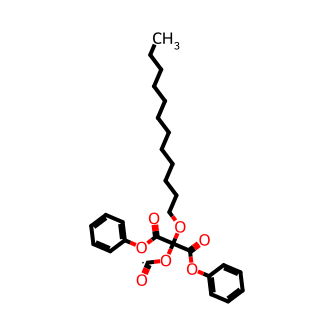 CCCCCCCCCCCCOC(O[C]=O)(C(=O)Oc1ccccc1)C(=O)Oc1ccccc1